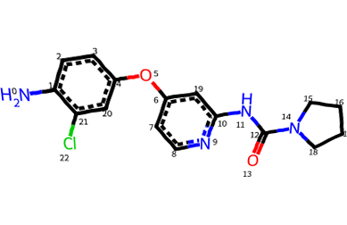 Nc1ccc(Oc2ccnc(NC(=O)N3CCCC3)c2)cc1Cl